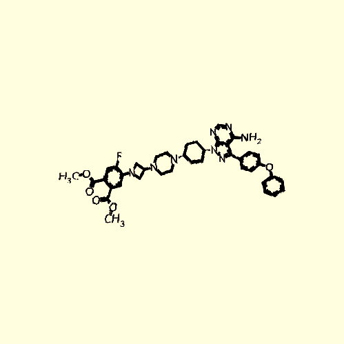 COC(=O)c1cc(F)c(N2CC(N3CCN([C@H]4CC[C@@H](n5nc(-c6ccc(Oc7ccccc7)cc6)c6c(N)ncnc65)CC4)CC3)C2)cc1C(=O)OC